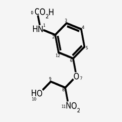 O=C(O)Nc1cccc(OC(CO)[N+](=O)[O-])c1